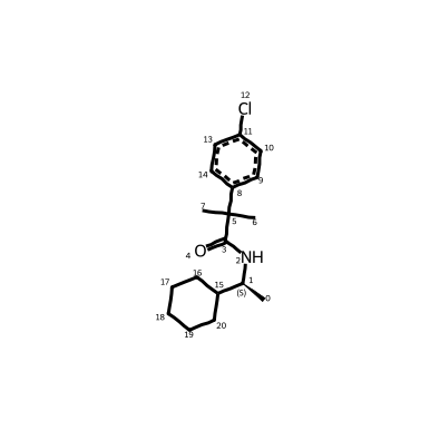 C[C@H](NC(=O)C(C)(C)c1ccc(Cl)cc1)C1CCCCC1